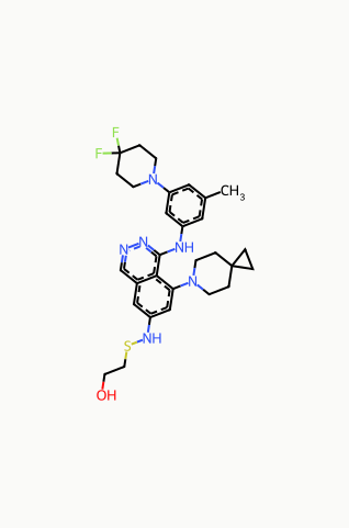 Cc1cc(Nc2nncc3cc(NSCCO)cc(N4CCC5(CC4)CC5)c23)cc(N2CCC(F)(F)CC2)c1